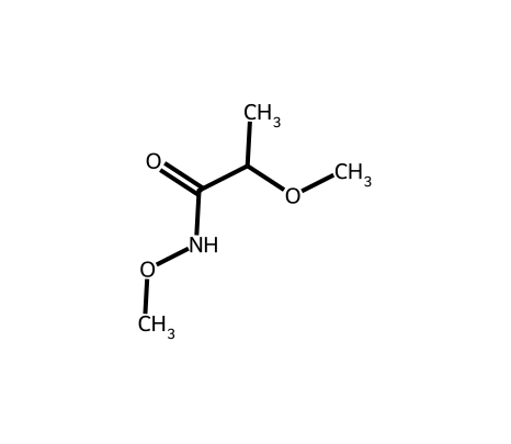 CONC(=O)C(C)OC